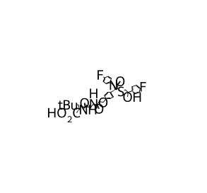 CC(C)(C)C[C@@H](NC(=O)CNC(=O)COc1ccc([C@@H]2[C@@H](SCC(O)c3ccc(F)cc3)C(=O)N2c2ccc(F)cc2)cc1)C(=O)O